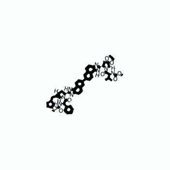 COC(=O)N[C@H](C(=O)N1CC2(C[C@H]1c1nc3ccc4cc(-c5ccc6c(ccc7nc([C@@H]8C[C@H]9C(CC%10CCCC%10)[C@H]9N8C(=O)[C@H](NC(=O)OC)c8ccccc8)[nH]c76)c5)ccc4c3[nH]1)OCCO2)C(C)C